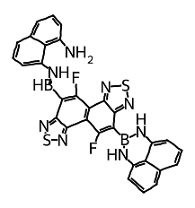 Nc1cccc2cccc(NBc3c(F)c4c5nsnc5c(B5Nc6cccc7cccc(c67)N5)c(F)c4c4nsnc34)c12